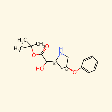 CC(C)(C)OC(=O)C(O)[C@@H]1C[C@H](Oc2ccccc2)CN1